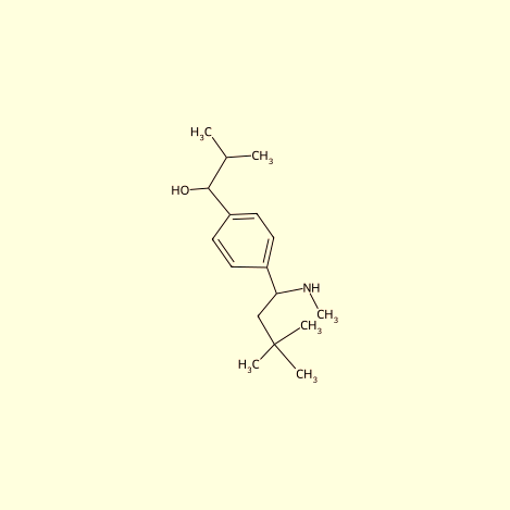 CNC(CC(C)(C)C)c1ccc(C(O)C(C)C)cc1